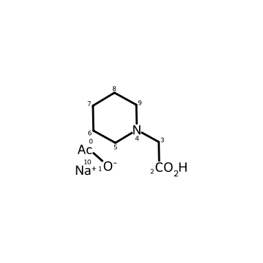 CC(=O)[O-].O=C(O)CN1CCCCC1.[Na+]